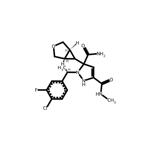 CNC(=O)C1=CC(C(N)=O)(C2[C@H]3COC[C@@H]23)N([C@@H](C)c2ccc(Cl)c(F)c2)N1